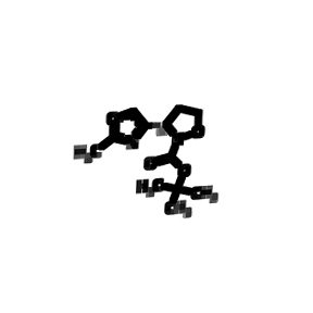 Cc1nc([C@@H]2CCON2C(=O)OC(C)(C)C)co1